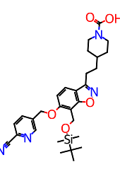 CC(C)(C)[Si](C)(C)OCc1c(OCc2ccc(C#N)nc2)ccc2c(CCC3CCN(C(=O)O)CC3)noc12